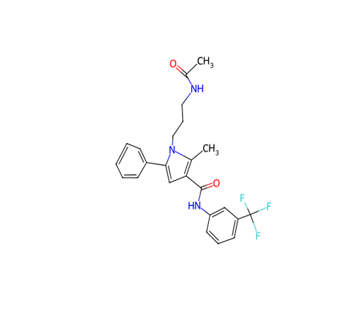 CC(=O)NCCCn1c(-c2ccccc2)cc(C(=O)Nc2cccc(C(F)(F)F)c2)c1C